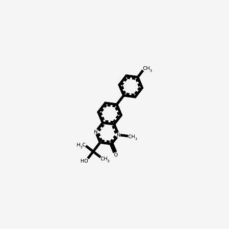 Cc1ccc(-c2ccc3nc(C(C)(C)O)c(=O)n(C)c3c2)cc1